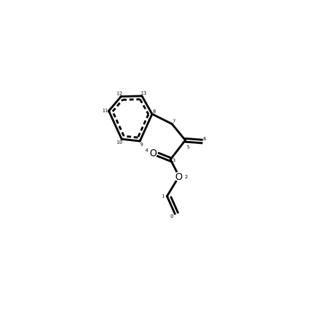 C=COC(=O)C(=C)Cc1ccccc1